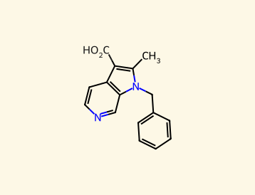 Cc1c(C(=O)O)c2ccncc2n1Cc1ccccc1